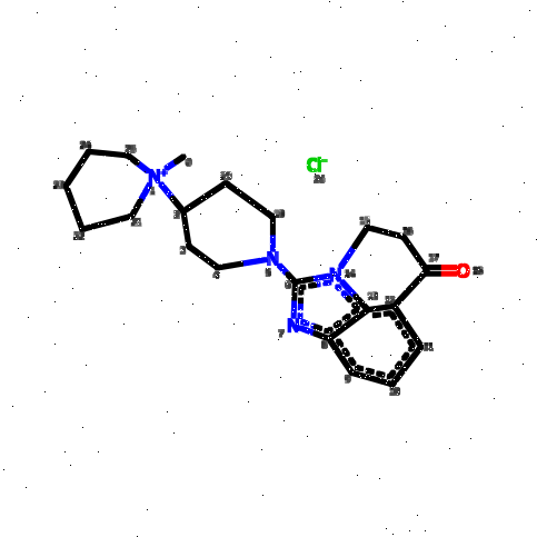 C[N+]1(C2CCN(c3nc4cccc5c4n3CCC5=O)CC2)CCCCC1.[Cl-]